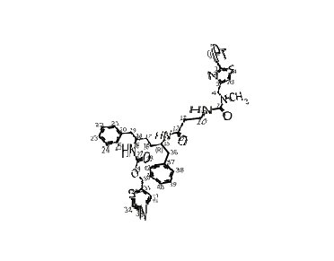 CC(C)c1nc(CN(C)C(=O)NCCC(=O)N[C@H](CC[C@H](Cc2ccccc2)NC(=O)OCc2cncs2)Cc2ccccc2)cs1